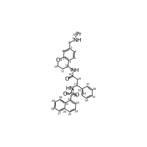 CC(C)NCc1ccc2c(c1)OCCC2NC(=O)CC(NS(=O)(=O)c1cccc2ccccc12)c1ccccc1